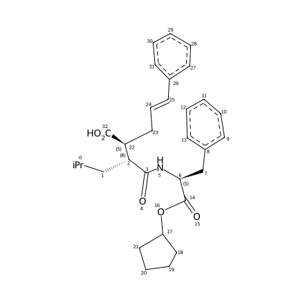 CC(C)C[C@@H](C(=O)N[C@@H](Cc1ccccc1)C(=O)OC1CCCC1)[C@H](CC=Cc1ccccc1)C(=O)O